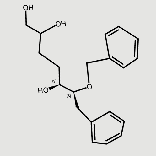 OCC(O)CC[C@H](O)[C@H](Cc1ccccc1)OCc1ccccc1